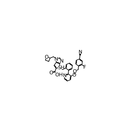 N#Cc1ccc(COOc2cccnc2-c2ccccc2C[SH]2C(C(=O)O)=Cc3c2ncn3CC2CCO2)c(F)c1